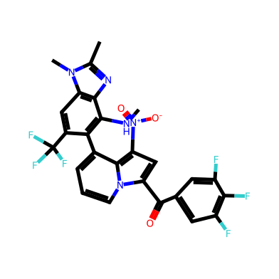 CNc1c(-c2cccn3c(C(=O)c4cc(F)c(F)c(F)c4)cc([N+](=O)[O-])c23)c(C(F)(F)F)cc2c1nc(C)n2C